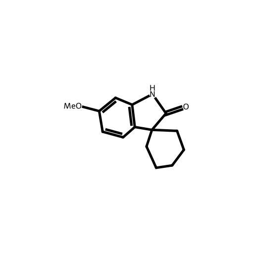 COc1ccc2c(c1)NC(=O)C21CCCCC1